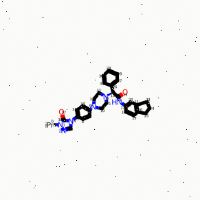 CC(C)n1ncn(-c2ccc(N3CCN([C@H](C(=O)Nc4ccc5c(c4)CCC5)c4ccccc4)CC3)cc2)c1=O